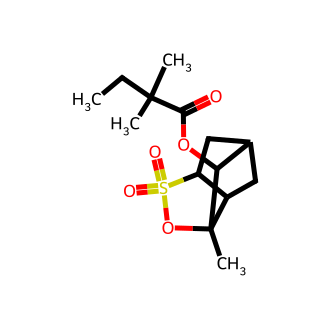 CCC(C)(C)C(=O)OC1C2CC3C(C2)S(=O)(=O)OC31C